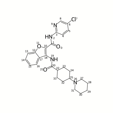 O=C(Nc1ccc(Cl)cn1)c1oc2ccccc2c1NC(=O)C1CCC(N2CCCCC2)CC1